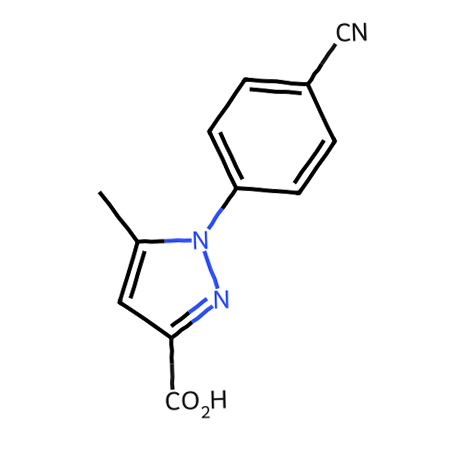 Cc1cc(C(=O)O)nn1-c1ccc(C#N)cc1